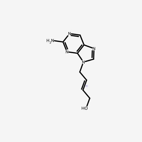 Nc1ncc2ncn(C/C=C/CO)c2n1